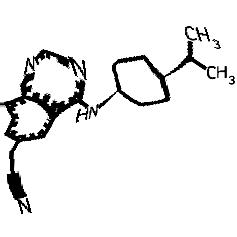 CC(C)[C@H]1CC[C@@H](Nc2ncnc3ccc(C#N)cc23)CC1